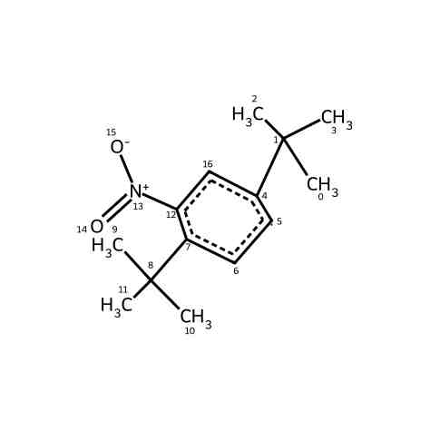 CC(C)(C)c1[c]cc(C(C)(C)C)c([N+](=O)[O-])c1